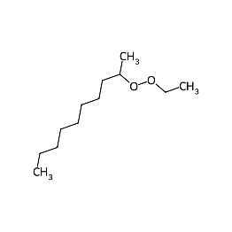 CCCCCCCCC(C)OOCC